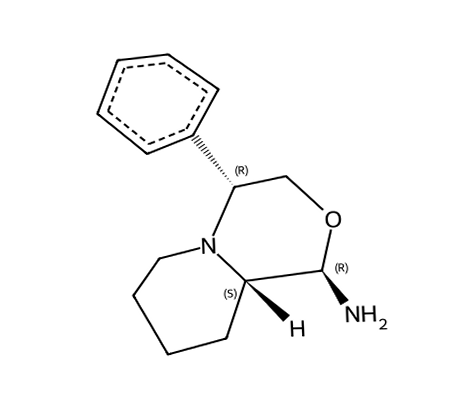 N[C@@H]1OC[C@@H](c2ccccc2)N2CCCC[C@@H]12